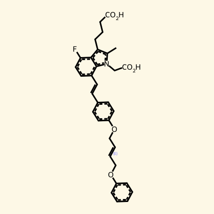 Cc1c(CCCC(=O)O)c2c(F)ccc(C=Cc3ccc(OC/C=C/COc4ccccc4)cc3)c2n1CC(=O)O